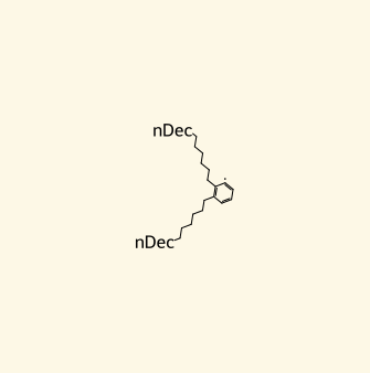 CCCCCCCCCCCCCCCCc1[c]cccc1CCCCCCCCCCCCCCCC